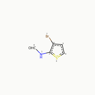 O=CNc1sccc1Br